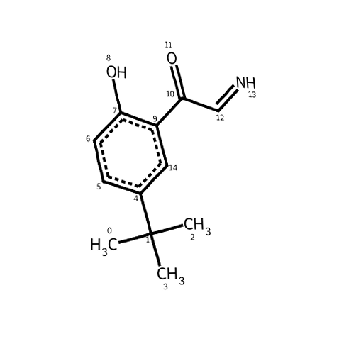 CC(C)(C)c1ccc(O)c(C(=O)C=N)c1